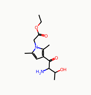 CCOC(=O)Cn1c(C)cc(C(=O)C(N)C(C)O)c1C